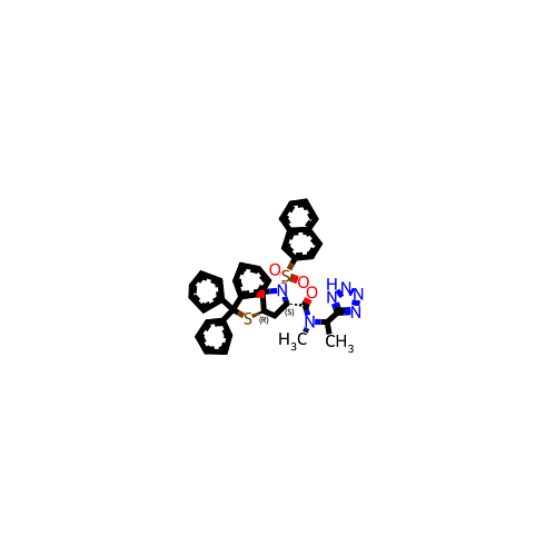 CC(c1nnn[nH]1)N(C)C(=O)[C@@H]1C[C@@H](SC(c2ccccc2)(c2ccccc2)c2ccccc2)CN1S(=O)(=O)c1ccc2ccccc2c1